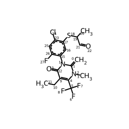 C=C1N(C)C(C(F)(F)F)=C(CC)C(=O)N1c1cc(SC(C)C=O)c(Cl)cc1F